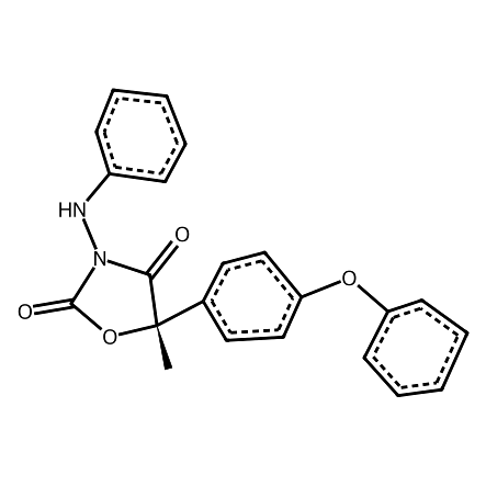 C[C@@]1(c2ccc(Oc3ccccc3)cc2)OC(=O)N(Nc2ccccc2)C1=O